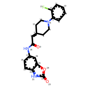 O=C(C=C1CCN(c2ccccc2F)CC1)Nc1ccc2[nH]c(=O)oc2c1